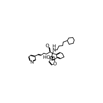 O=C=C(CCC=Cc1cccnc1)C(NCCCCC1CCCCC1)(C(=O)O)C1=CCCC=C1c1ncco1